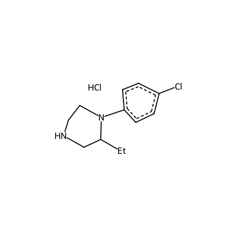 CCC1CNCCN1c1ccc(Cl)cc1.Cl